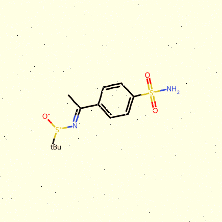 CC(=N[S+]([O-])C(C)(C)C)c1ccc(S(N)(=O)=O)cc1